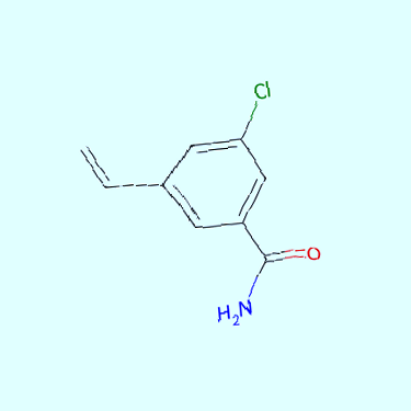 C=Cc1cc(Cl)cc(C(N)=O)c1